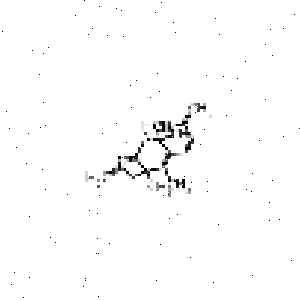 C=CCC1(C)C(=O)NC(C)(C)C(/C=C\C(=C)Cl)=C1C